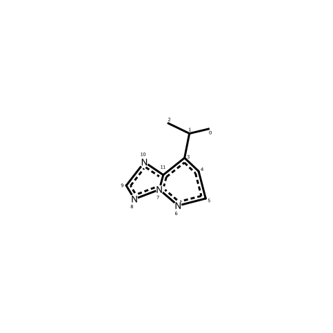 CC(C)c1ccnn2ncnc12